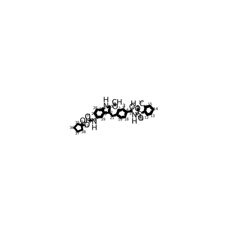 COc1cc(C(=O)NS(=O)(=O)c2ccccc2C)ccc1Cc1c[nH]c2ccc(NC(=O)OC3(O)CCCC3)cc12